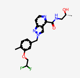 Cc1ccc(Cn2cc3c(C(=O)NC[C@@H](C)O)nccc3n2)cc1OCC(F)F